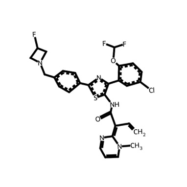 C=C/C(C(=O)Nc1sc(-c2ccc(CN3CC(F)C3)cc2)nc1-c1cc(Cl)ccc1OC(F)F)=C1/N=CC=CN1C